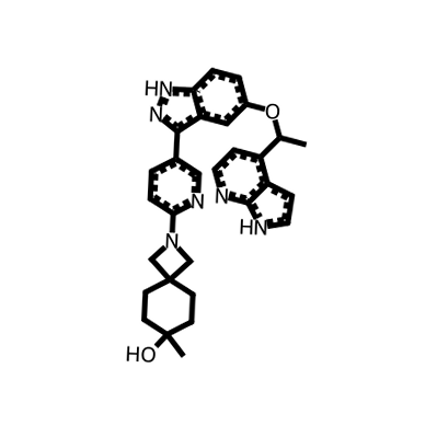 CC(Oc1ccc2[nH]nc(-c3ccc(N4CC5(CCC(C)(O)CC5)C4)nc3)c2c1)c1ccnc2[nH]ccc12